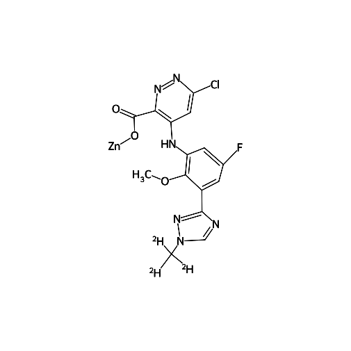 [2H]C([2H])([2H])n1cnc(-c2cc(F)cc(Nc3cc(Cl)nnc3C(=O)[O][Zn])c2OC)n1